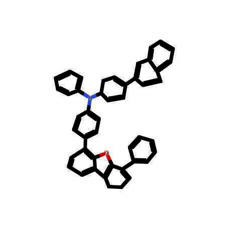 C1=CC(N(c2ccccc2)c2ccc(-c3cccc4c5c(oc34)C(c3ccccc3)=CCC5)cc2)CC=C1c1ccc2ccccc2c1